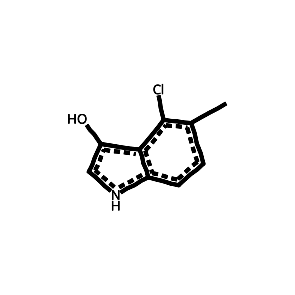 Cc1ccc2[nH]cc(O)c2c1Cl